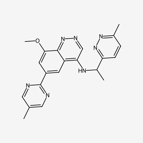 COc1cc(-c2ncc(C)cn2)cc2c(NC(C)c3ccc(C)nn3)cnnc12